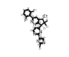 CC[C@H]1c2cc(-c3c(F)cccc3F)nnc2[C@](C)(c2ccnc(-n3cnc(C)n3)n2)C1(C)C